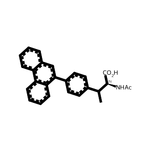 CC(=O)N[C@H](C(=O)O)C(C)c1ccc(-c2cc3ccccc3c3ccccc23)cc1